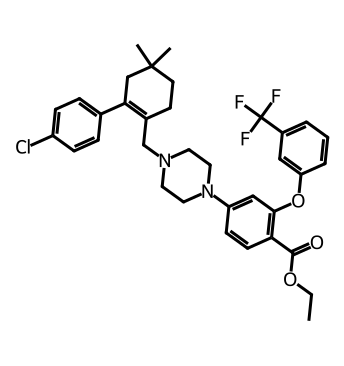 CCOC(=O)c1ccc(N2CCN(CC3=C(c4ccc(Cl)cc4)CC(C)(C)CC3)CC2)cc1Oc1cccc(C(F)(F)F)c1